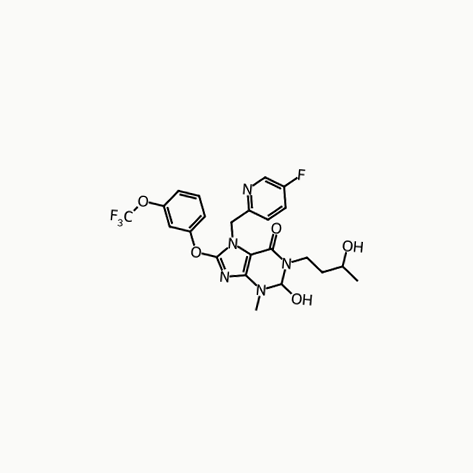 CC(O)CCN1C(=O)c2c(nc(Oc3cccc(OC(F)(F)F)c3)n2Cc2ccc(F)cn2)N(C)C1O